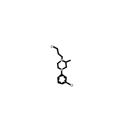 CC1CN(c2cccc(Cl)c2)CCN1CCCCl